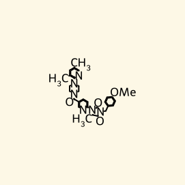 COc1ccc(CN2C(=O)C(C)N(c3ccc(C(=O)N4CCN(c5ncc(C)cc5C)CC4)cn3)C2=O)cc1